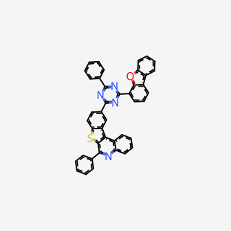 c1ccc(-c2nc(-c3ccc4sc5c(-c6ccccc6)nc6ccccc6c5c4c3)nc(-c3cccc4c3oc3ccccc34)n2)cc1